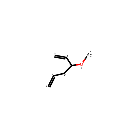 C=CCC(C=C)OC(C)=O